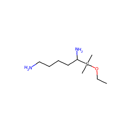 CCO[Si](C)(C)C(N)CCCCN